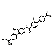 Cc1cc(NC(=O)c2ccc(C3=CCN(C(=N)N)CC3)c(F)c2)ccc1C1=CCN(C(=N)N)CC1